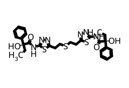 CC[C@](O)(C(=O)Nc1nnc(CCSCCc2nnc(NC(=O)[C@@](O)(CC)c3ccccc3)s2)s1)c1ccccc1